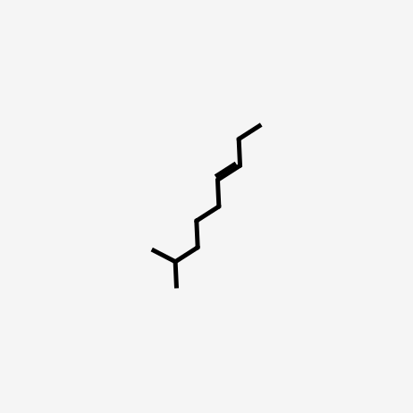 CC/C=C/CCCC(C)C